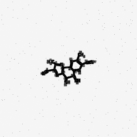 Cc1nc2c(nc1C#N)C(=N)C(=N)c1nc(C#N)c(C)nc1-2